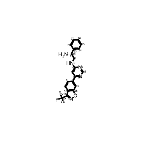 N[C@@H](CNc1cc(-c2ccc3c(C(F)(F)F)noc3c2)ncn1)c1ccccc1